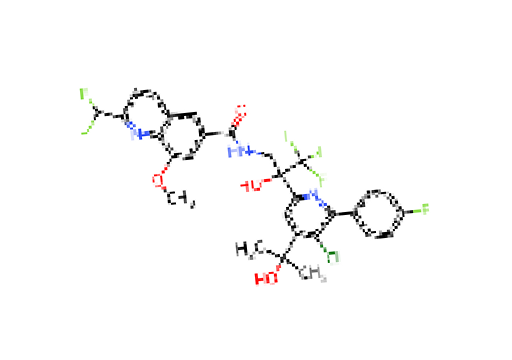 COc1cc(C(=O)NCC(O)(c2cc(C(C)(C)O)c(Cl)c(-c3ccc(F)cc3)n2)C(F)(F)F)cc2ccc(C(F)F)nc12